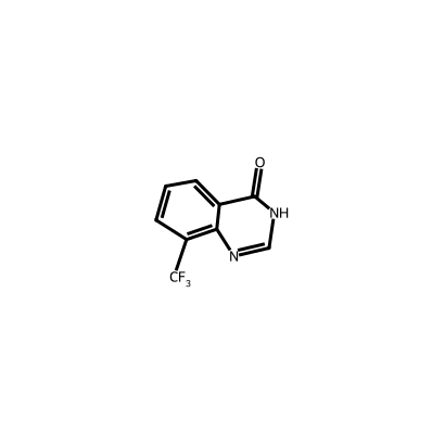 O=c1[nH]cnc2c(C(F)(F)F)cccc12